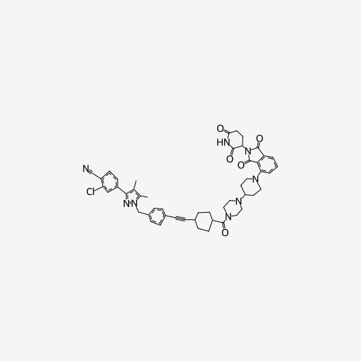 Cc1c(-c2ccc(C#N)c(Cl)c2)nn(Cc2ccc(C#CC3CCC(C(=O)N4CCN(C5CCN(c6cccc7c6C(=O)N(C6CCC(=O)NC6=O)C7=O)CC5)CC4)CC3)cc2)c1C